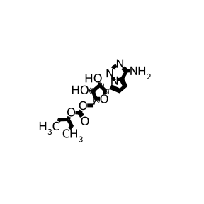 CCC(CC)OC(=O)OC[C@H]1O[C@@H](c2ccc3c(N)ncnn23)[C@H](O)[C@@H]1O